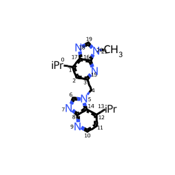 CC(C)c1cc(Cn2cnc3nccc(C(C)C)c32)nc2c1ncn2C